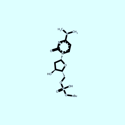 CCCCOP(=O)(O)OC[C@H]1O[C@@H](n2ccc(N(C)C)nc2=O)C[C@@H]1O